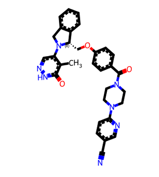 Cc1c(N2Cc3ccccc3[C@@H]2COc2ccc(C(=O)N3CCN(c4ccc(C#N)cn4)CC3)cc2)cn[nH]c1=O